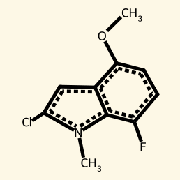 COc1ccc(F)c2c1cc(Cl)n2C